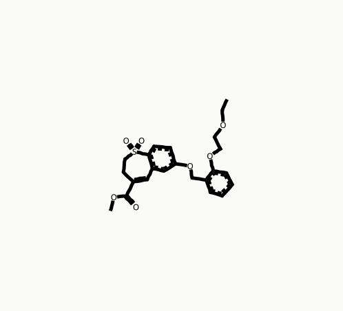 CCOCCOc1ccccc1COc1ccc2c(c1)C=C(C(=O)OC)CCS2(=O)=O